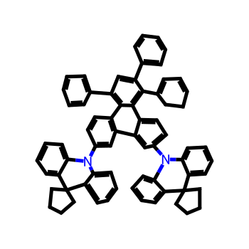 C1=CCCC(c2c(-c3ccccc3)cc(-c3ccccc3)c3c4ccc(N5c6ccccc6C6(CCCC6)c6ccccc65)cc4c4cc(N5c6ccccc6C6(CCCC6)c6ccccc65)ccc4c23)=C1